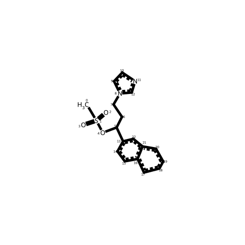 CS(=O)(=O)OC(CCn1ccnc1)c1ccc2ccccc2c1